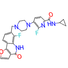 O=C(NC1CC1)c1ccc(N2CCN(Cc3ccc4c([nH]c(=O)c5ccoc54)c3F)CC2)c(F)n1